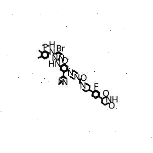 COc1cc(N2CCN(C(=O)CN3CCC(c4ccc(C5CCC(=O)NC5=O)cc4F)CC3)CC2)c(-c2cnn(C)c2)cc1Nc1ncc(Br)c(Nc2ccc(C)c(C)c2P(C)C)n1